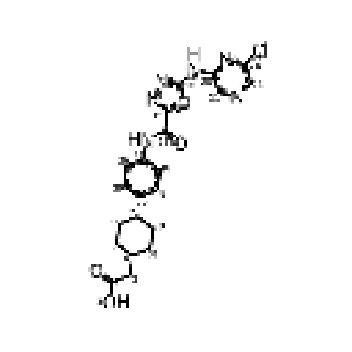 O=C(O)C[C@H]1CC[C@H](c2ccc(NC(=O)c3nnc(Nc4cncc(Cl)n4)o3)cc2)CC1